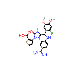 COc1cc(F)c(C(Nc2ccc(C(=N)N)cc2)c2nn(-c3ccsc3C(=O)O)c(=O)[nH]2)cc1OC